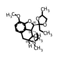 CCC1([C@@H]2Oc3c(OC)ccc4c3[C@@]23CCN(C)[C@H](C4)C3(C)O)OCC(C)O1